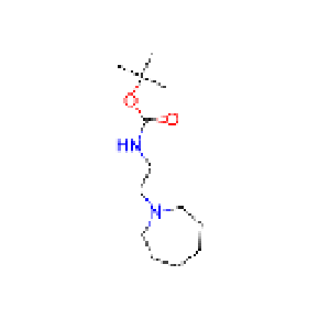 CC(C)(C)OC(=O)NCCN1CCCCCC1